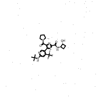 C[C@H]1CCCN1C(=O)c1nc(C(=O)N[C@@H]2CC[C@H]2O)sc1-c1cnc(NC(C)(C)C)cc1C(F)(F)F